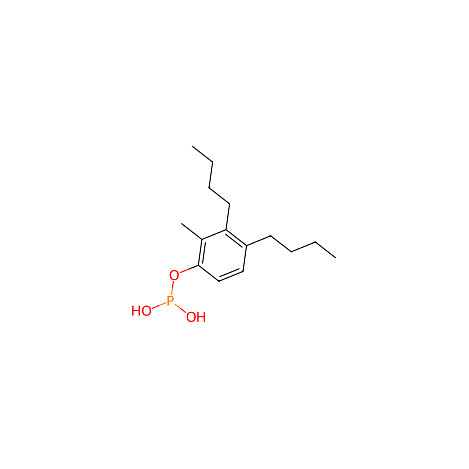 CCCCc1ccc(OP(O)O)c(C)c1CCCC